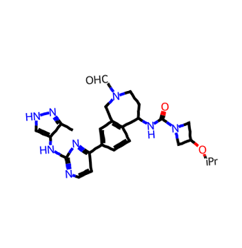 Cc1n[nH]cc1Nc1nccc(-c2ccc3c(c2)CN(C=O)CCC3NC(=O)N2CC(OC(C)C)C2)n1